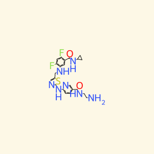 NCCNC(=O)c1ccc(Nc2ncc(CNc3cc(C(=O)NC4CC4)c(F)cc3F)s2)nc1